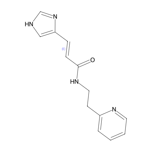 O=C(/C=C/c1c[nH]cn1)NCCc1ccccn1